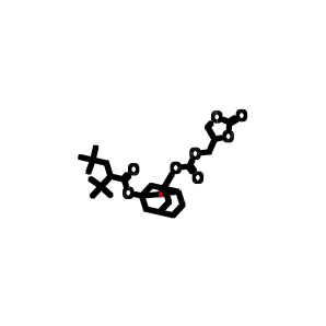 CC(C)(C)CC(C(=O)OC12CC3CCC(C(C3)C1)C(OC(=O)OCC1COC(=O)O1)C2)C(C)(C)C